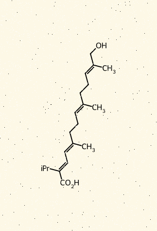 C/C(=C\CC/C(C)=C/CC/C(C)=C/C=C(/C(=O)O)C(C)C)CO